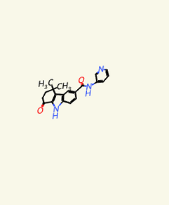 CC1(C)CCC(=O)c2[nH]c3ccc(C(=O)Nc4cccnc4)cc3c21